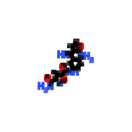 Cc1c(C(N)=O)noc1C(=O)Nc1ccc(N)c(C(=N)c2ccoc2)c1